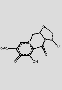 CCC1COC2Cn3cc(C=O)c(=O)c(O)c3C(=O)N12